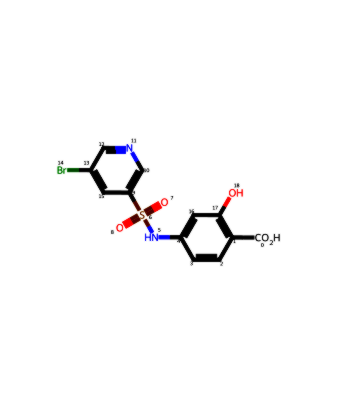 O=C(O)c1ccc(NS(=O)(=O)c2cncc(Br)c2)cc1O